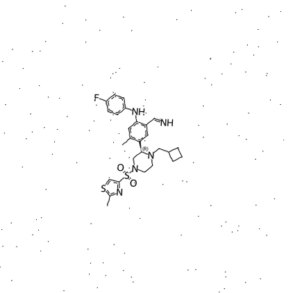 Cc1nc(S(=O)(=O)N2CCN(CC3CCC3)[C@H](c3cc(C=N)c(Nc4ccc(F)cc4)cc3C)C2)cs1